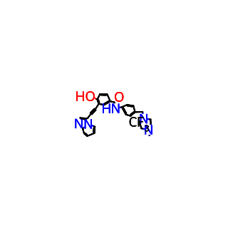 CN1CCN(Cc2ccc(NC(=O)c3ccc(O)c(C#Cc4cnc5ccccn45)c3)cc2C(F)(F)F)CC1